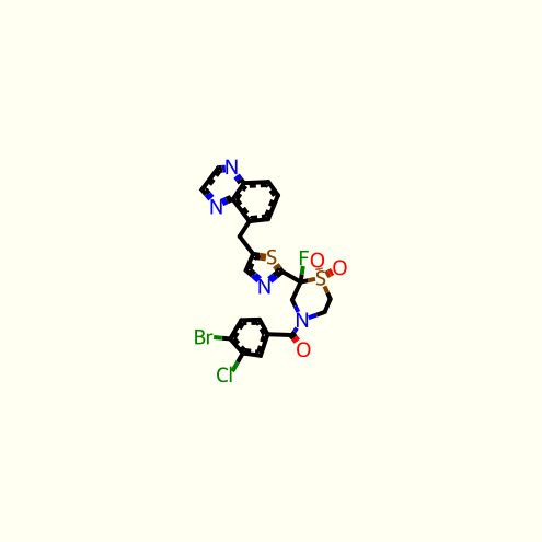 O=C(c1ccc(Br)c(Cl)c1)N1CCS(=O)(=O)C(F)(c2ncc(Cc3cccc4nccnc34)s2)C1